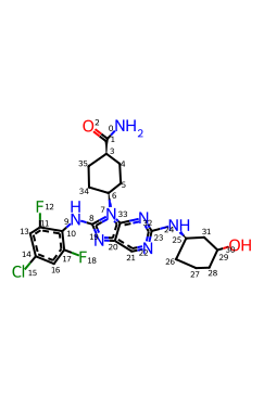 NC(=O)[C@H]1CC[C@@H](n2c(Nc3c(F)cc(Cl)cc3F)nc3cnc(N[C@@H]4CCCC(O)C4)nc32)CC1